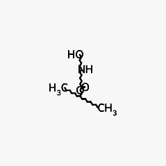 CCCCCCCCC(CCCCCC)COC(=O)CCCCCNCCCCO